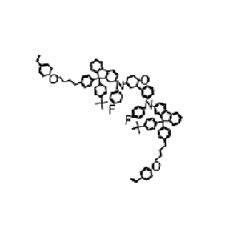 C=CC1=CCC(OCCCCc2ccc(C3(C4C=CC(C(C)(C)C)=CC4)C4=C(C=CC(N(C5=CC=C(F)CC5)C5=CC6c7cc(N(c8ccc(F)cc8)c8ccc9c(c8)C(c8ccc(CCCCOc%10ccc(C=C)cc%10)cc8)(c8ccc(C(C)(C)C)cc8)c8ccccc8-9)ccc7OC6CC5)C4)c4ccccc43)cc2)C=C1